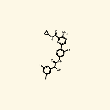 CCc1cc(NC(=O)C(O)c2cc(F)cc(F)c2)ccc1-c1cnc(N)c(C(=O)NC2CC2)n1